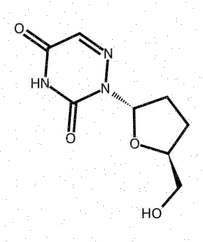 O=c1cnn([C@@H]2CC[C@@H](CO)O2)c(=O)[nH]1